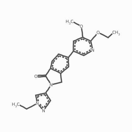 CCOc1ncc(-c2ccc3c(c2)CN(c2cnn(CC)c2)C3=O)cc1OC